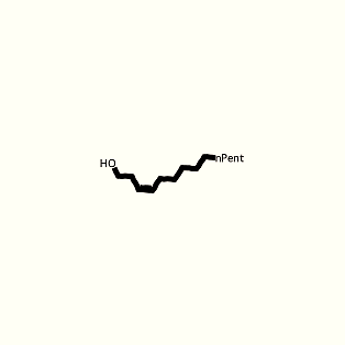 CCCCCCCCCC/C=C\CCO